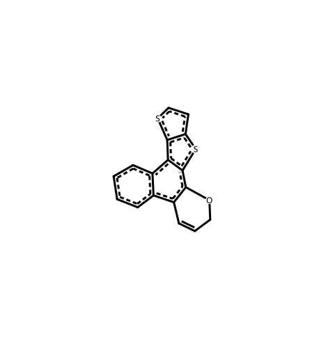 C1=Cc2c(c3sc4ccsc4c3c3ccccc23)OC1